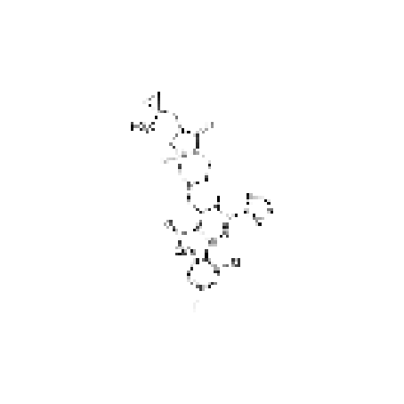 COC(=O)C1=C(CN2CCN3C(=O)N(CC4(C(=O)O)CC4)C[C@@H]3C2)NC(c2nccs2)=N[C@H]1c1ccc(F)cc1Cl